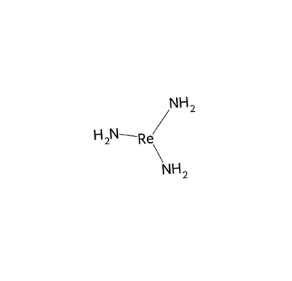 [NH2][Re]([NH2])[NH2]